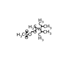 CC(C)N(C(C)C)P(C)OCOS(C)(=O)=O